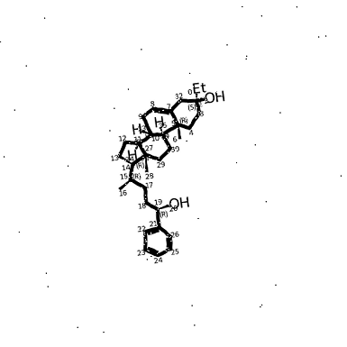 CC[C@]1(O)CC[C@@]2(C)C(=CC[C@H]3[C@@H]4CC[C@H]([C@H](C)CC[C@@H](O)c5ccccc5)[C@@]4(C)CC[C@@H]32)C1